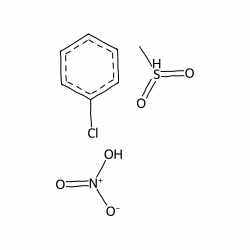 C[SH](=O)=O.Clc1ccccc1.O=[N+]([O-])O